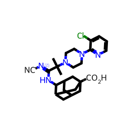 CC(C)(/C(=N/C#N)NC1C2CC3CC1CC(C(=O)O)(C3)C2)N1CCN(c2ncccc2Cl)CC1